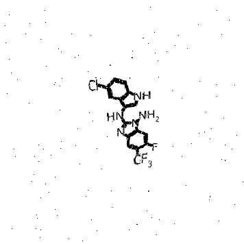 Nn1c(Nc2c[nH]c3ccc(Cl)cc23)nc2cc(C(F)(F)F)c(F)cc21